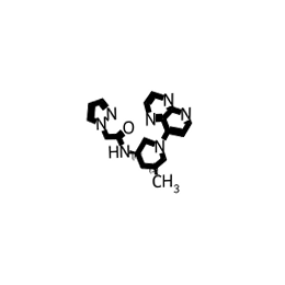 C[C@H]1C[C@@H](NC(=O)Cn2cccn2)CN(c2ccnc3nccnc23)C1